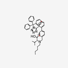 CCCCCN(Cc1ccc(-c2ccccc2-c2nnnn2C(c2ccccc2)(c2ccccc2)c2ccccc2)cc1)[C@H](C(=O)O)C(C)C